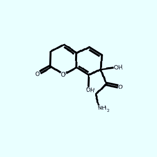 NCC(=O)C1(O)C=CC2=CCC(=O)OC2=C1O